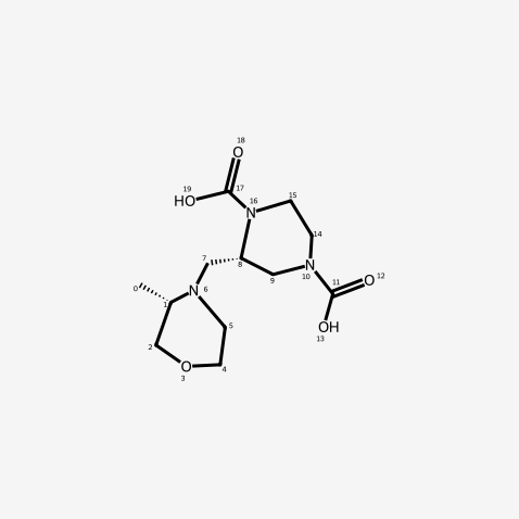 C[C@H]1COCCN1C[C@H]1CN(C(=O)O)CCN1C(=O)O